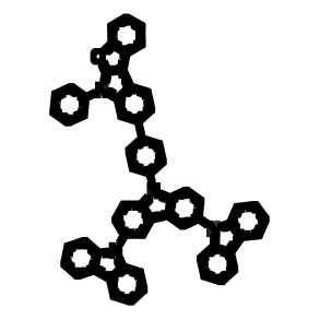 c1ccc(-n2c3cc(-c4ccc(-n5c6ccc(-n7c8ccccc8c8ccccc87)cc6c6cc(-n7c8ccccc8c8ccccc87)ccc65)cc4)ccc3c3c4ccccc4oc32)cc1